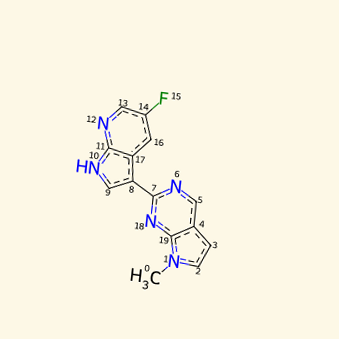 Cn1ccc2cnc(-c3c[nH]c4ncc(F)cc34)nc21